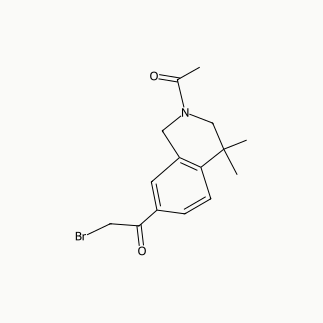 CC(=O)N1Cc2cc(C(=O)CBr)ccc2C(C)(C)C1